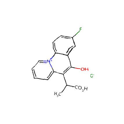 CC(C(=O)O)c1c(O)c2cc(F)ccc2[n+]2ccccc12.[Cl-]